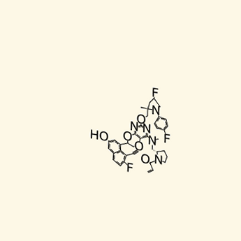 C#Cc1c(F)ccc2cc(O)cc(C3COc4c(nc(OC[C@]5(C)C[C@@H](F)CN5c5ccc(F)cc5)nc4N(C)C[C@@H]4CCCN4C(=O)C=C)O3)c12